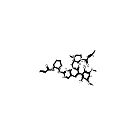 C=CC(=O)NC1CCCCC1Nc1ncc2cc(-c3c(Cl)c(OC)cc(OC)c3Cl)c(=O)n(CC3CN(C(=O)C#CC)CCN3C)c2n1